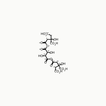 O=C(O)CC(O)(CC(=O)OC(=O)C(O)C(O)C(=O)OC(=O)CC(O)(CC(=O)O)C(=O)O)C(=O)O